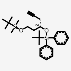 C#CC[C@@H](CCO[Si](C)(C)C(C)(C)C)O[Si](c1ccccc1)(c1ccccc1)C(C)(C)C